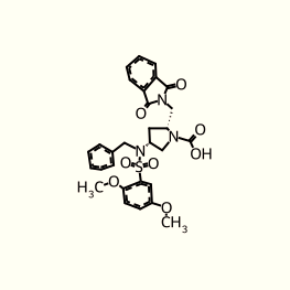 COc1ccc(OC)c(S(=O)(=O)N(Cc2ccccc2)[C@@H]2C[C@H](CN3C(=O)c4ccccc4C3=O)N(C(=O)O)C2)c1